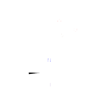 C[C@H](I)N1CCS(=O)(=O)CC1